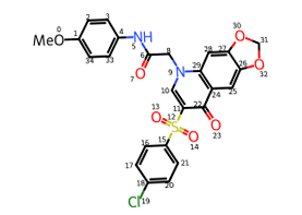 COc1ccc(NC(=O)Cn2cc(S(=O)(=O)c3ccc(Cl)cc3)c(=O)c3cc4c(cc32)OCO4)cc1